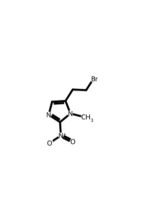 Cn1c(CCBr)cnc1[N+](=O)[O-]